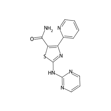 NC(=O)c1sc(Nc2ncccn2)nc1-c1ccccn1